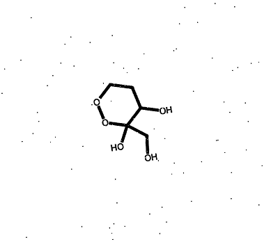 OCC1(O)OOCCC1O